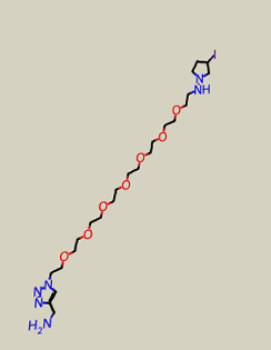 NCc1cn(CCOCCOCCOCCOCCOCCOCCOCCNN2CCC(I)C2)nn1